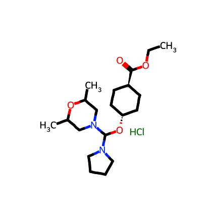 CCOC(=O)[C@H]1CC[C@H](OC(N2CCCC2)N2CC(C)OC(C)C2)CC1.Cl